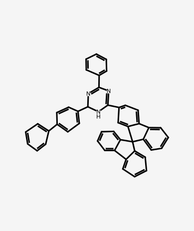 c1ccc(C2=NC(c3ccc(-c4ccccc4)cc3)NC(c3ccc4c(c3)C3(c5ccccc5-c5ccccc53)c3ccccc3-4)=N2)cc1